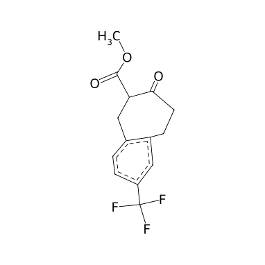 COC(=O)C1Cc2ccc(C(F)(F)F)cc2CCC1=O